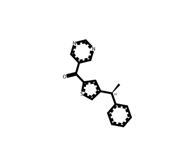 C[C@@H](c1ccccc1)c1csc(C(=O)c2cncnc2)c1